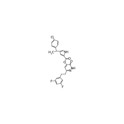 CC(c1ccc(Cl)cc1)c1c[nH]c(C(=O)Oc2cc(CCc3cc(F)cc(F)c3)n[nH]c2=O)c1